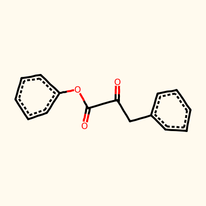 O=C(Cc1ccccc1)C(=O)Oc1ccccc1